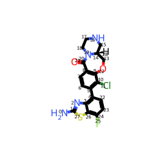 Nc1nc2c(-c3ccc4c(c3Cl)OC[C@H]3CNCCN3C4=O)ccc(F)c2s1